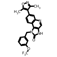 Cc1noc(C)c1-c1ccc2c(c1)ncc1[nH]c(=O)n(Cc3cccc(OC(F)(F)F)c3)c12